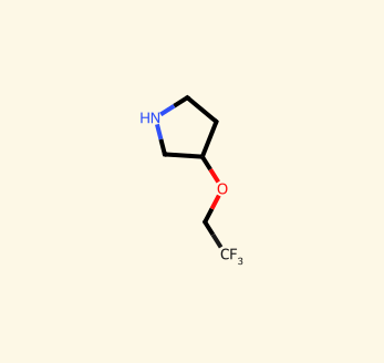 FC(F)(F)COC1CCNC1